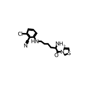 N#Cc1c(Cl)cccc1NCCCCC(N)C(=O)N1C=CSC1